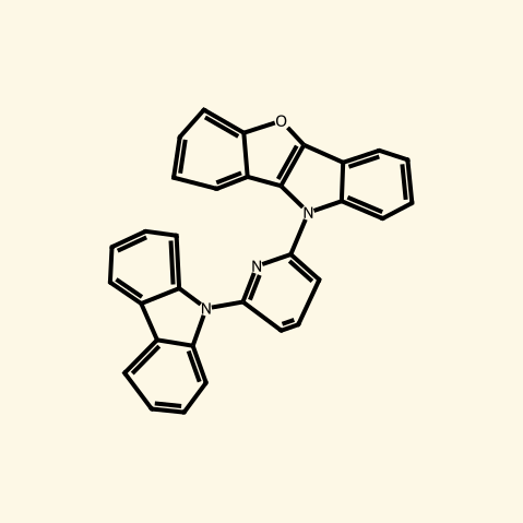 c1cc(-n2c3ccccc3c3ccccc32)nc(-n2c3ccccc3c3oc4ccccc4c32)c1